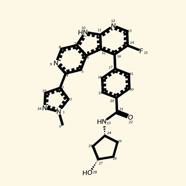 Cn1cc(-c2cc3c(cn2)[nH]c2ncc(F)c(-c4ccc(C(=O)N[C@@H]5CC[C@H](O)C5)cc4)c23)cn1